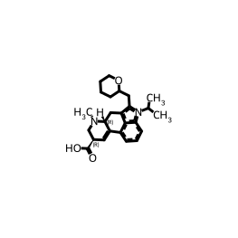 CC(C)n1c(CC2CCCCO2)c2c3c(cccc31)C1=C[C@@H](C(=O)O)CN(C)[C@@H]1C2